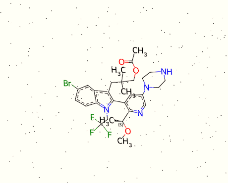 CO[C@@H](C)c1ncc(N2CCNCC2)cc1-c1c(CC(C)(C)COC(C)=O)c2cc(Br)ccc2n1CC(F)(F)F